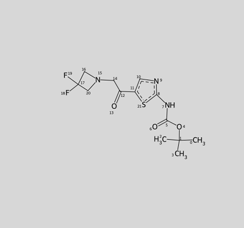 CC(C)(C)OC(=O)Nc1ncc(C(=O)CN2CC(F)(F)C2)s1